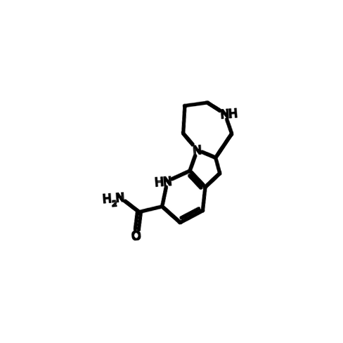 NC(=O)C1C=CC2=C(N1)N1CCCNCC1C2